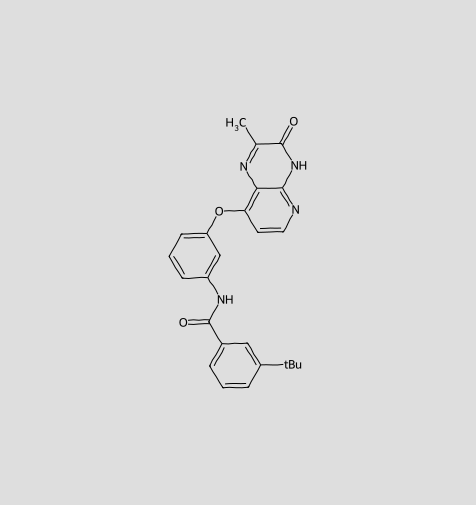 Cc1nc2c(Oc3cccc(NC(=O)c4cccc(C(C)(C)C)c4)c3)ccnc2[nH]c1=O